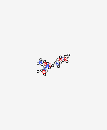 CC1(C)c2ccccc2-c2ccc(N(c3cccc4c3oc3ccccc34)c3cccc4c3oc3c5c(ccc34)-c3ccc(-c4ccc6c(c4)oc4c(N(c7cccc(N(c8ccc(-c9ccccc9)cc8)c8cccc9c8oc8ccccc89)c7)c7cccc8c7oc7c9c(ccc78)-c7ccccc7-n7c8ccccc8c8cccc-9c87)cccc46)cc3-n3c4ccccc4c4cccc-5c43)cc21